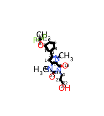 Cn1c(-c2cccc(OC(C)(F)F)c2)cc2c1c(=O)n(CCCO)c(=O)n2C